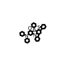 c1ccc(N(c2ccccc2)c2cc3c4c(c2)-n2c5ccccc5c5cc6c(sc7ccccc76)c(c52)B4c2ccccc2O3)cc1